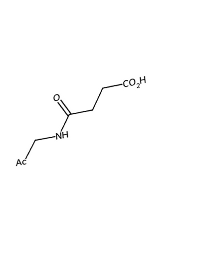 CC(=O)CNC(=O)CCC(=O)O